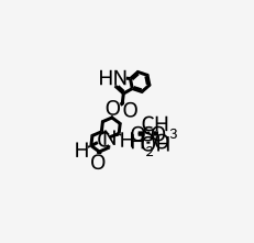 CS(=O)(=O)O.O.O=C(O[C@H]1CC2C[C@@H]3C[C@@H](C1)N2CC3=O)c1c[nH]c2ccccc12